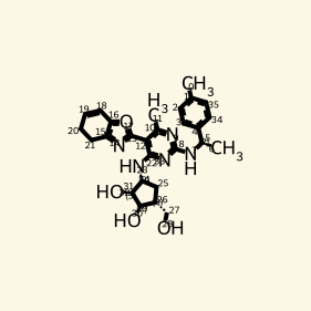 Cc1ccc([C@@H](C)Nc2nc(C)c(-c3nc4c(o3)C=CCC4)c(N[C@@H]3C[C@H](CO)[C@@H](O)[C@H]3O)n2)cc1